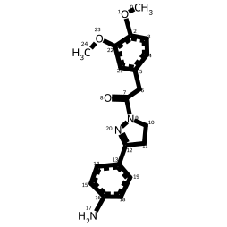 COc1ccc(CC(=O)N2CCC(c3ccc(N)cc3)=N2)cc1OC